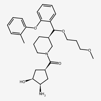 COCCCOC(c1ccccc1Oc1ccccc1C)[C@@H]1CCCN(C(=O)[C@H]2C[C@@H](N)[C@@H](O)C2)C1